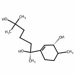 CC1CCC([C@@](C)(O)CCCC(C)(C)O)=C[C@@H]1O